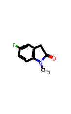 CN1C(=O)Cc2cc(F)ccc21